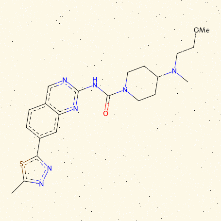 COCCN(C)C1CCN(C(=O)Nc2ncc3ccc(-c4nnc(C)s4)cc3n2)CC1